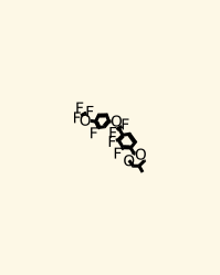 CC1COC(c2ccc(C(F)(F)Oc3ccc(OC(F)(F)F)c(F)c3)c(F)c2F)OC1